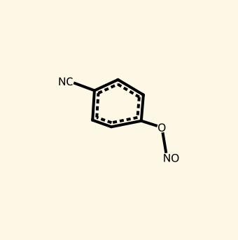 N#Cc1ccc(ON=O)cc1